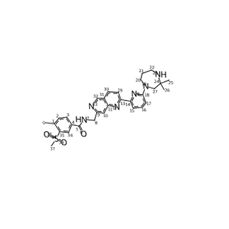 Cc1ccc(C(=O)NCc2cc3nc(-c4cccc(N5CCCNC(C)(C)C5)n4)ccc3cn2)cc1S(C)(=O)=O